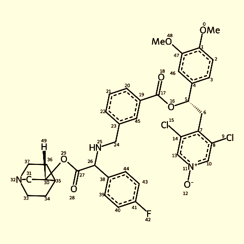 COc1ccc([C@H](Cc2c(Cl)c[n+]([O-])cc2Cl)OC(=O)c2cccc(CNC(C(=O)O[C@H]3CN4CCC3CC4)c3ccc(F)cc3)c2)cc1OC